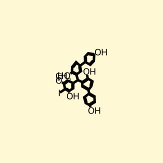 COc1cc(C(c2cc(-c3ccc(O)cc3)ccc2O)c2cc(-c3ccc(O)cc3)ccc2O)cc(O)c1I